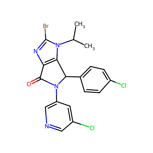 CC(C)n1c(Br)nc2c1C(c1ccc(Cl)cc1)N(c1cncc(Cl)c1)C2=O